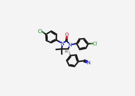 CC1(C)[C@@H](c2cccc(C#N)c2)N(c2ccc(Cl)cc2)C(=O)N1c1ccc(Cl)cc1